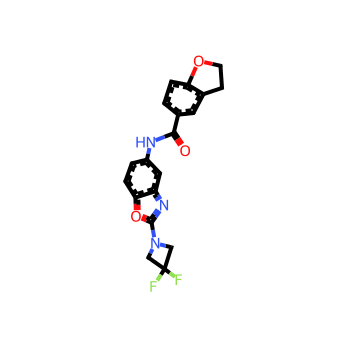 O=C(Nc1ccc2oc(N3CC(F)(F)C3)nc2c1)c1ccc2c(c1)CCO2